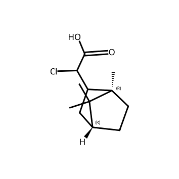 CC1(C)[C@@H]2CC[C@]1(C)C(C(Cl)C(=O)O)C2